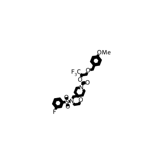 COc1ccc(COCC(OC(=O)N2CCC3(CC2)CN(S(=O)(=O)c2cccc(F)c2)CCO3)C(F)(F)F)cc1